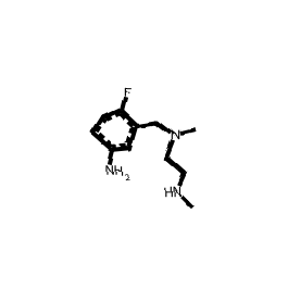 CNCCN(C)Cc1cc(N)ccc1F